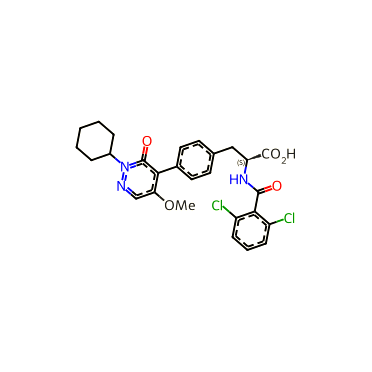 COc1cnn(C2CCCCC2)c(=O)c1-c1ccc(C[C@H](NC(=O)c2c(Cl)cccc2Cl)C(=O)O)cc1